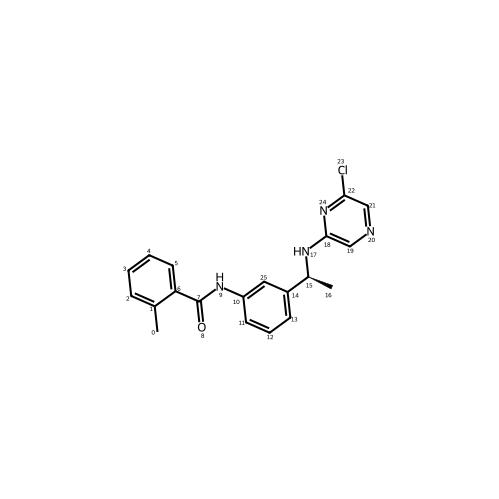 Cc1ccccc1C(=O)Nc1cccc([C@H](C)Nc2cncc(Cl)n2)c1